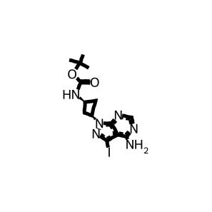 CC(C)(C)OC(=O)N[C@H]1C[C@@H](n2nc(I)c3c(N)ncnc32)C1